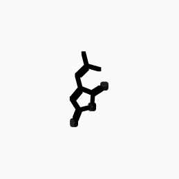 CC(C)=CC1=CC(=O)OC1=O